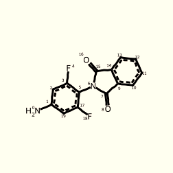 Nc1cc(F)c(N2C(=O)c3ccccc3C2=O)c(F)c1